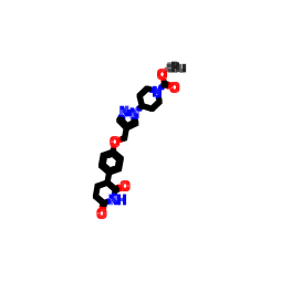 CC(C)(C)OC(=O)N1CCC(n2cc(COc3ccc(C4CCC(=O)NC4=O)cc3)cn2)CC1